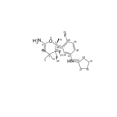 CC1(C)N=C(N)O[C@](C)(c2cc(NC3CCCC3)ccc2F)C1(F)F